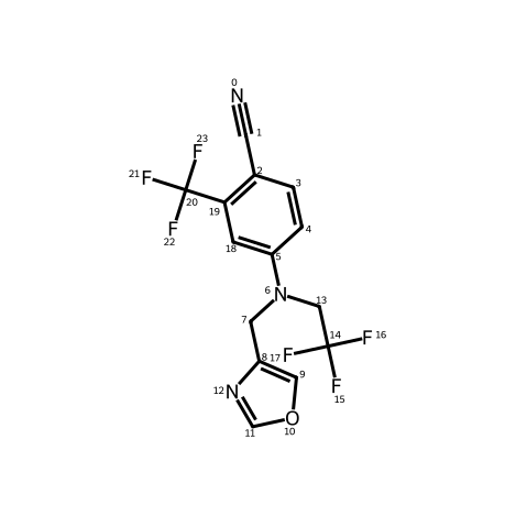 N#Cc1ccc(N(Cc2cocn2)CC(F)(F)F)cc1C(F)(F)F